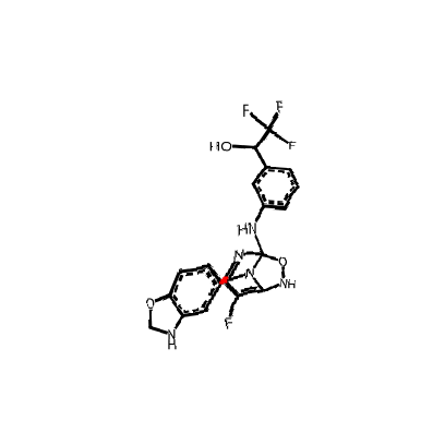 OC(c1cccc(NC23N=CC(F)=C(NO2)N3c2ccc3c(c2)NCO3)c1)C(F)(F)F